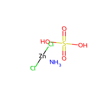 N.O=S(=O)(O)O.[Cl][Zn][Cl]